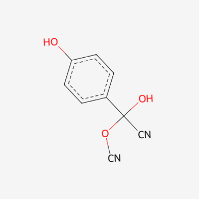 N#COC(O)(C#N)c1ccc(O)cc1